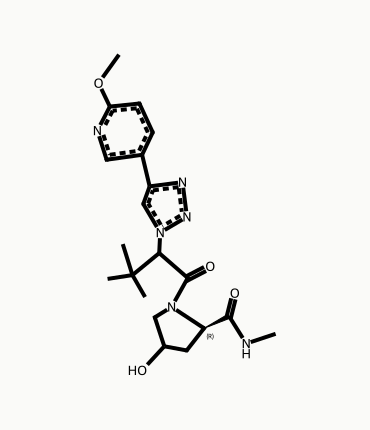 CNC(=O)[C@H]1CC(O)CN1C(=O)C(n1cc(-c2ccc(OC)nc2)nn1)C(C)(C)C